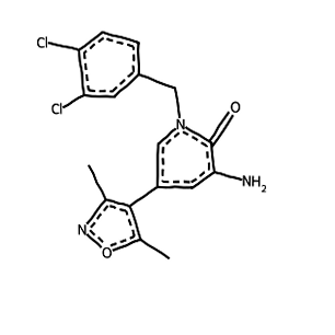 Cc1noc(C)c1-c1cc(N)c(=O)n(Cc2ccc(Cl)c(Cl)c2)c1